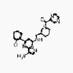 Bc1cnn2c(NCC3CCCN(C(=O)c4cnccn4)C3)cc(-c3ccccc3Cl)nc12